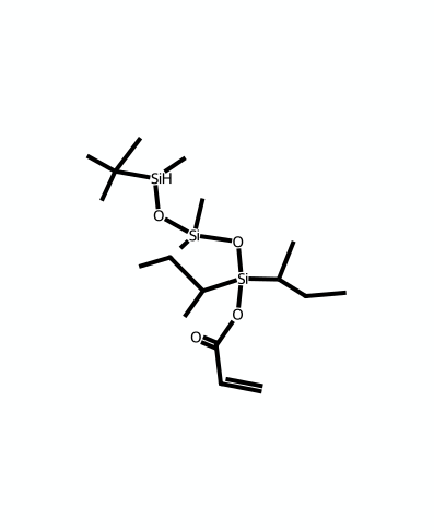 C=CC(=O)O[Si](O[Si](C)(C)O[SiH](C)C(C)(C)C)(C(C)CC)C(C)CC